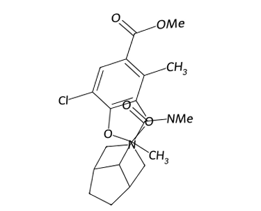 CNC(=O)N1CC2CCC(C1)C2C1(C)Oc2c(Cl)cc(C(=O)OC)c(C)c2O1